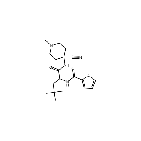 CN1CCC(C#N)(NC(=O)C(CC(C)(C)C)NC(=O)c2ccco2)CC1